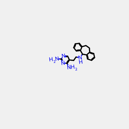 Nc1ncc(CCNC2c3ccccc3CCc3ccccc32)c(N)n1